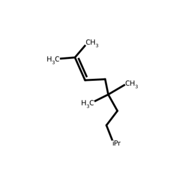 CC(C)=CCC(C)(C)CCC(C)C